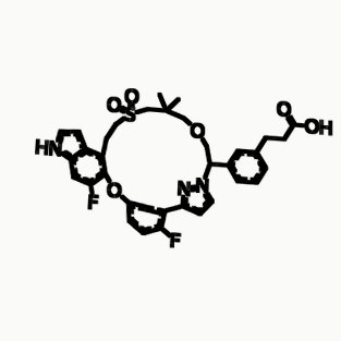 CC1(C)COCC(c2cccc(CCC(=O)O)c2)n2ccc(n2)-c2cc(ccc2F)Oc2c(F)cc3[nH]ccc3c2CCS(=O)(=O)C1